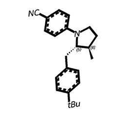 C[C@@H]1CCN(c2ccc(C#N)cc2)[C@H]1Cc1ccc(C(C)(C)C)cc1